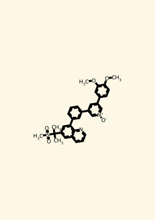 COc1ccc(-c2cc(-c3cccc(-c4cc(C(C)(C)S(C)(=O)=O)cc5cccnc45)c3)c[n+]([O-])c2)cc1OC